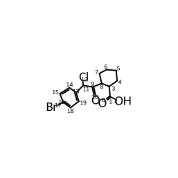 O=C(O)C1CCCCC1C(=O)C(Cl)c1ccc(Br)cc1